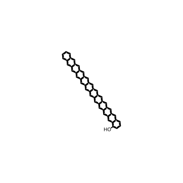 Oc1cccc2cc3cc4cc5cc6cc7cc8cc9cc%10cc%11cc%12ccccc%12cc%11cc%10cc9cc8cc7cc6cc5cc4cc3cc12